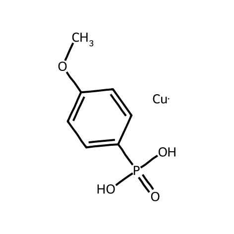 COc1ccc(P(=O)(O)O)cc1.[Cu]